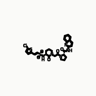 O=C(Nc1ccc2ccccc2n1)[C@@H]1CCCN1C(=O)CN1CCC[C@H](NS(=O)(=O)/C=C/c2ccc(Cl)s2)C1=O